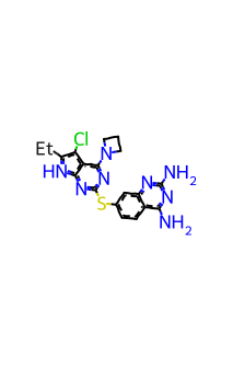 CCc1[nH]c2nc(Sc3ccc4c(N)nc(N)nc4c3)nc(N3CCC3)c2c1Cl